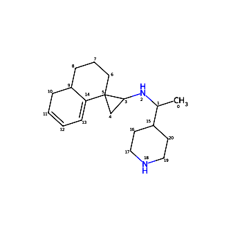 CC(NC1CC12CCCC1CC=CC=C12)C1CCNCC1